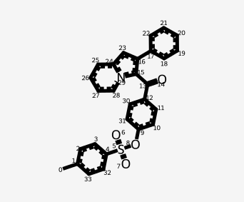 Cc1ccc(S(=O)(=O)Oc2ccc(C(=O)c3c(-c4ccccc4)cc4ccccn34)cc2)cc1